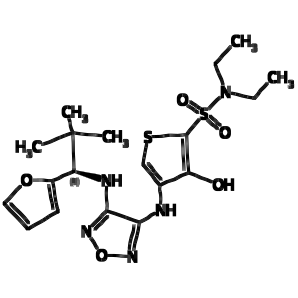 CCN(CC)S(=O)(=O)c1scc(Nc2nonc2N[C@@H](c2ccco2)C(C)(C)C)c1O